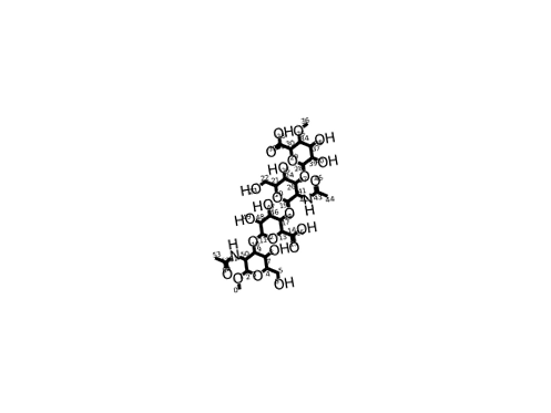 COC1OC(CO)C(O)C(OC2OC(C(=O)O)C(OC3OC(CO)C(O)C(OC4OC(C(=O)O)C(OC)C(O)C4O)C3NC(C)=O)C(O)C2O)C1NC(C)=O